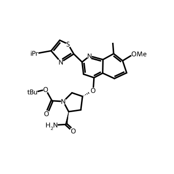 COc1ccc2c(O[C@@H]3C[C@@H](C(N)=O)N(C(=O)OC(C)(C)C)C3)cc(-c3nc(C(C)C)cs3)nc2c1C